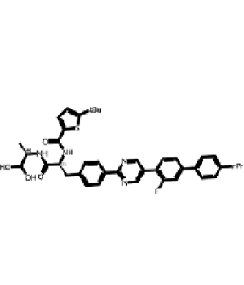 CCCc1ccc(-c2ccc(-c3cnc(-c4ccc(C[C@H](NC(=O)c5ccc(C(C)(C)C)s5)C(=O)N[C@H](C)C(O)O)cc4)nc3)c(F)c2)cc1